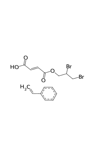 C=Cc1ccccc1.O=C(O)C=CC(=O)OCC(Br)CBr